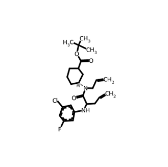 C=CCC(Nc1cc(F)cc(Cl)c1)C(=O)N(CC=C)[C@@H]1CCCC(C(=O)OC(C)(C)C)C1